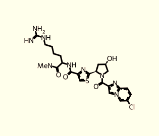 CNC(=O)C(CCCCNC(=N)N)NC(=O)c1csc([C@H]2C[C@@H](O)CN2C(=O)c2cn3cc(Cl)ccc3n2)n1